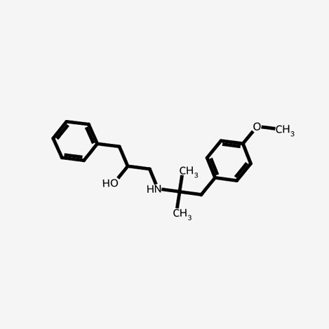 COc1ccc(CC(C)(C)NCC(O)Cc2ccccc2)cc1